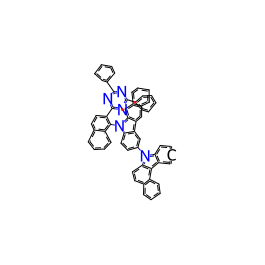 c1ccc(-c2nc(-c3ccccc3)nc(-c3ccc4ccccc4c3-n3c4ccc(-n5c6ccccc6c6c7ccccc7ccc65)cc4c4cc5ccccc5cc43)n2)cc1